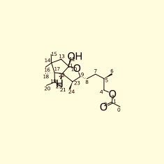 CC(=O)OC[C@H](C)CC[C@H]1O[C@@]2(O)CC(C)(C)[C@](C)(C(C)C)[C@H]2[C@@H]1C